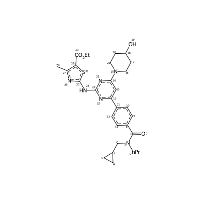 CCCN(CC1CC1)C(=O)c1ccc(-c2cc(N3CCC(O)CC3)nc(Nc3nc(C)c(C(=O)OCC)s3)n2)cc1